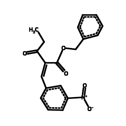 CCC(=O)C(=Cc1cccc([N+](=O)[O-])c1)C(=O)OCc1ccccc1